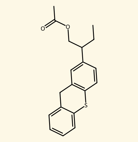 CCC(COC(C)=O)c1ccc2c(c1)Cc1ccccc1S2